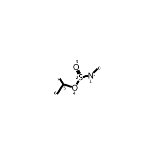 C[N]S(=O)OC(C)C